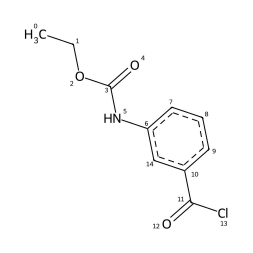 CCOC(=O)Nc1cccc(C(=O)Cl)c1